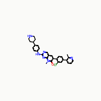 Cc1ncccc1-c1ccc(-c2cc3cnc(Nc4ccc(C5CCNCC5)cc4)nc3n(C)c2=O)c(Cl)c1